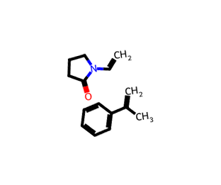 C=C(C)c1ccccc1.C=CN1CCCC1=O